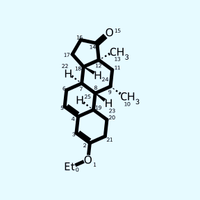 CCOC1=CC2=CC[C@@H]3[C@H]([C@@H](C)C[C@]4(C)C(=O)CC[C@@H]34)[C@H]2CC1